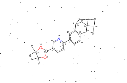 CC1(C)OB(c2ccc(-c3ccc4c(c3)C3CC5CC6CC4C56C3)nc2)OC1(C)C